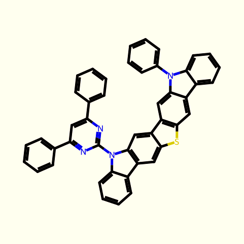 c1ccc(-c2cc(-c3ccccc3)nc(-n3c4ccccc4c4cc5sc6cc7c8ccccc8n(-c8ccccc8)c7cc6c5cc43)n2)cc1